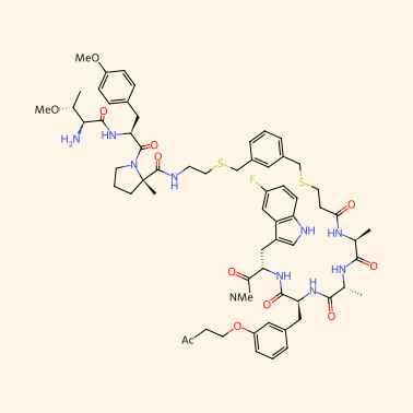 CNC(=O)[C@H](Cc1c[nH]c2ccc(F)cc12)NC(=O)[C@H](Cc1cccc(OCCC(C)=O)c1)NC(=O)[C@@H](C)NC(=O)[C@H](C)NC(=O)CCSCc1cccc(CSCCNC(=O)[C@]2(C)CCCN2C(=O)[C@H](Cc2ccc(OC)cc2)NC(=O)[C@@H](N)[C@@H](C)OC)c1